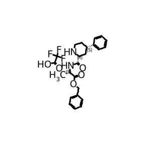 C[C@H](NC(=O)[C@H]1C[C@@H](c2ccccc2)CCN1)C(=O)OCc1ccccc1.O=C(O)C(F)(F)F